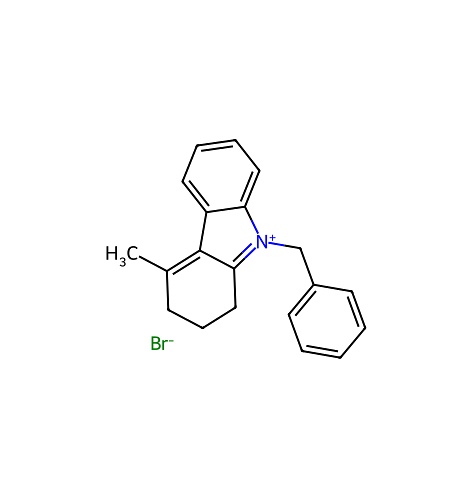 CC1=C2C(=[N+](Cc3ccccc3)c3ccccc32)CCC1.[Br-]